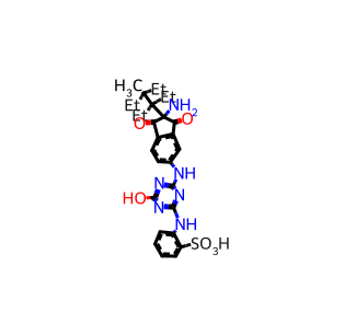 CCC(C)(CC)C(CC)(CC)C1(N)C(=O)c2ccc(Nc3nc(O)nc(Nc4ccccc4S(=O)(=O)O)n3)cc2C1=O